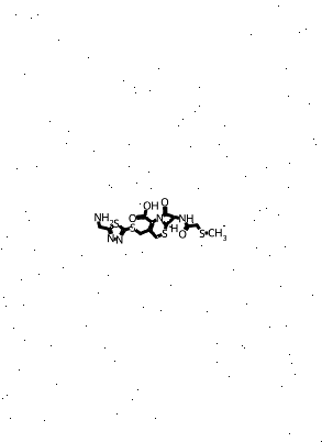 CSCC(=O)NC1C(=O)N2C(C(=O)O)=C(CSc3nnc(CN)s3)CS[C@H]12